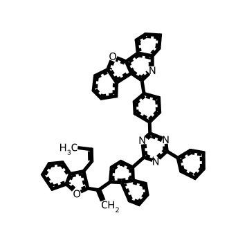 C=C(c1oc2ccccc2c1/C=C\C)c1ccc(-c2nc(-c3ccccc3)nc(-c3ccc(-c4nc5ccccc5c5oc6ccccc6c45)cc3)n2)c2ccccc12